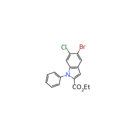 CCOC(=O)c1cc2cc(Br)c(Cl)cc2n1-c1ccccc1